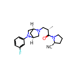 C[C@@H](CN1C[C@@H]2C[C@H]1CN2c1cccc(F)c1)C(=O)N1CCC[C@H]1C#N